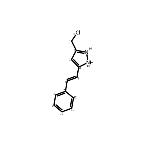 ClCc1cc(C=Cc2ccccc2)[nH]n1